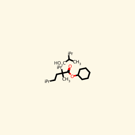 CC(C)C(C)C(=O)O.CC(C)CCC(C)(C(=O)OC1CCCCC1)C(C)C